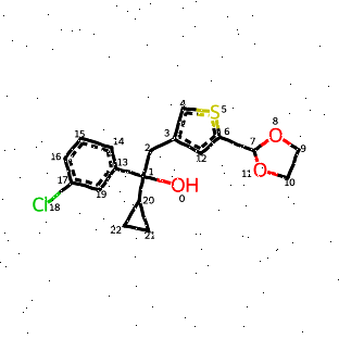 OC(Cc1csc(C2OCCO2)c1)(c1cccc(Cl)c1)C1CC1